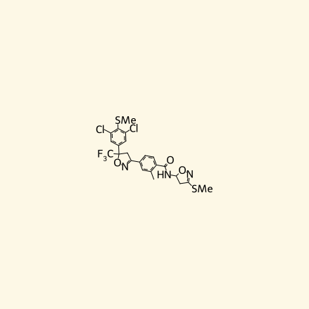 CSC1=NOC(NC(=O)c2ccc(C3=NOC(c4cc(Cl)c(SC)c(Cl)c4)(C(F)(F)F)C3)cc2C)C1